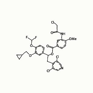 COc1ccc(C(=O)OC(Cc2c(Cl)cncc2Cl)c2ccc(OC(F)F)c(OCC3CC3)c2)cc1NC(=O)CCl